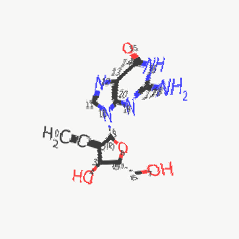 C=C=C1C(O)[C@@H](CO)O[C@H]1n1cnc2c(=O)[nH]c(N)nc21